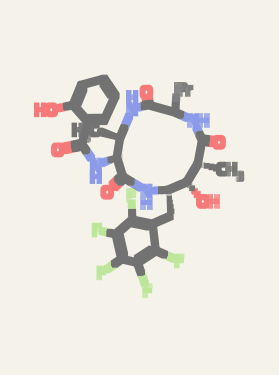 CC(C)C1NC(=O)[C@H](C)[C@H](O)[C@H](Cc2c(F)c(F)c(F)c(F)c2F)NC(=O)[C@@H](NC(=O)c2ccccc2O)[C@@H](C)NC1=O